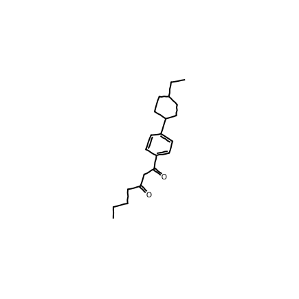 CCCCC(=O)CC(=O)c1ccc(C2CCC(CC)CC2)cc1